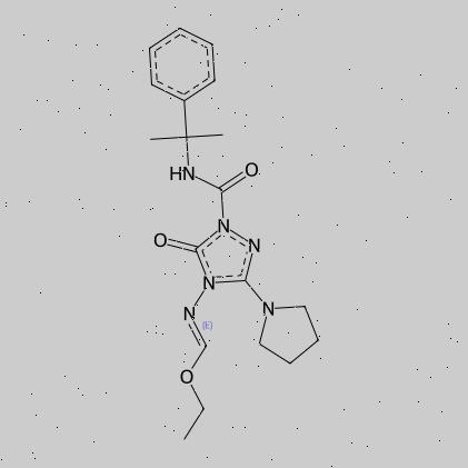 CCO/C=N/n1c(N2CCCC2)nn(C(=O)NC(C)(C)c2ccccc2)c1=O